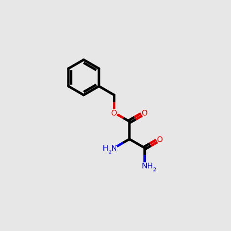 N[C](C(N)=O)C(=O)OCc1ccccc1